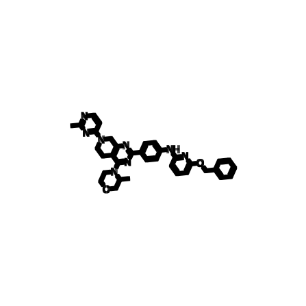 Cc1nccc(N2CCc3c(nc(-c4ccc(Nc5cccc(OCc6ccccc6)n5)cc4)nc3N3CCOCC3C)C2)n1